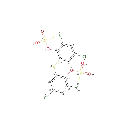 O=S(=O)(F)Oc1c(Cl)cc(Cl)cc1Sc1cc(Cl)cc(Cl)c1OS(=O)(=O)F